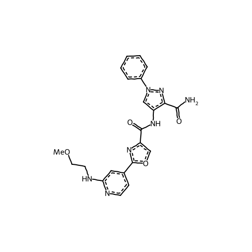 COCCNc1cc(-c2nc(C(=O)Nc3cn(-c4ccccc4)nc3C(N)=O)co2)ccn1